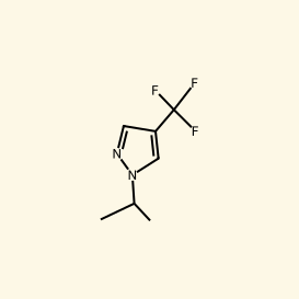 CC(C)n1cc(C(F)(F)F)cn1